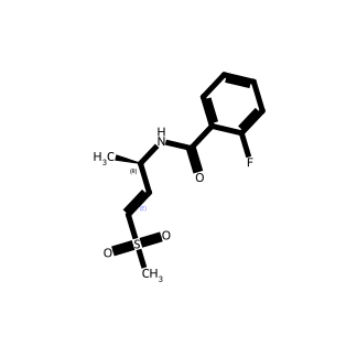 C[C@H](/C=C/S(C)(=O)=O)NC(=O)c1ccccc1F